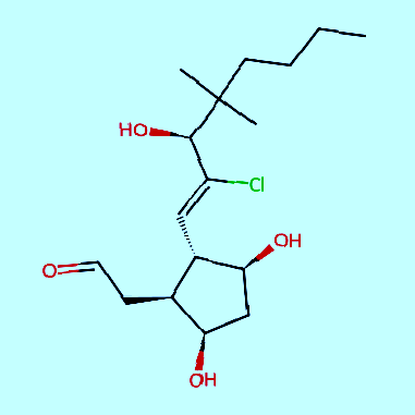 CCCCC(C)(C)[C@H](O)C(Cl)=C[C@H]1[C@H](CC=O)[C@H](O)C[C@@H]1O